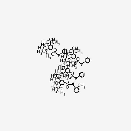 CC(C)(C)c1cc(OC(=O)C2=C(c3ccccc3)C2)cc(C(C)(C)C)c1O.CC(C)(C)c1cc(OC(=O)C2=C(c3ccccc3)C2)cc(C(C)(C)C)c1O.CC(C)(C)c1cc(OC(=O)C2=C(c3ccccc3)C2)cc(C(C)(C)C)c1O.Cc1ccccc1C1=C(C(=O)Oc2cc(C(C)(C)C)c(O)c(C(C)(C)C)c2)C1